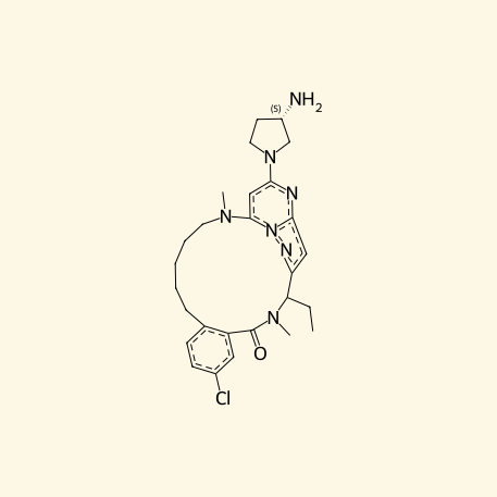 CCC1c2cc3nc(N4CC[C@H](N)C4)cc(n3n2)N(C)CCCCCc2ccc(Cl)cc2C(=O)N1C